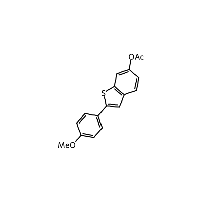 COc1ccc(-c2cc3ccc(OC(C)=O)cc3s2)cc1